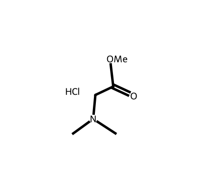 COC(=O)CN(C)C.Cl